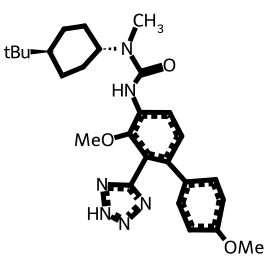 COc1ccc(-c2ccc(NC(=O)N(C)[C@H]3CC[C@H](C(C)(C)C)CC3)c(OC)c2-c2nn[nH]n2)cc1